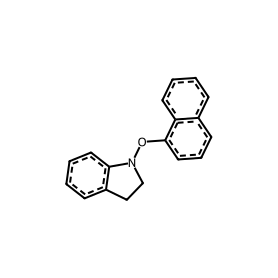 c1ccc2c(c1)CCN2Oc1cccc2ccccc12